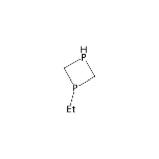 CCP1CPC1